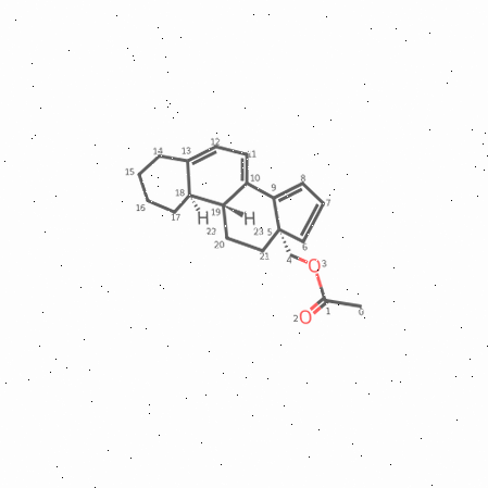 CC(=O)OC[C@@]12C=CC=C1C1=CC=C3CCCC[C@@H]3[C@H]1CC2